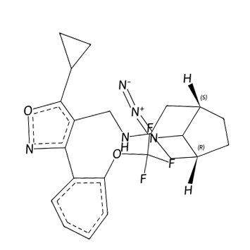 [N-]=[N+]=NC1[C@@H]2CC[C@H]1CC(NCc1c(-c3ccccc3OC(F)(F)F)noc1C1CC1)C2